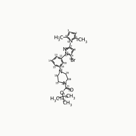 Cc1ccc(C)n1-c1cc(Br)n(-c2cccc(N3CCN(C(=O)OC(C)(C)C)CC3)c2)n1